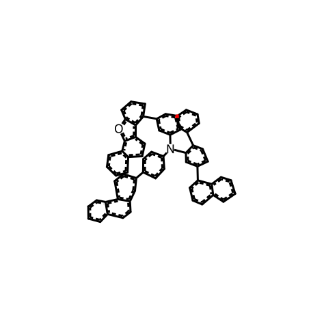 c1ccc(-c2ccc(-c3cccc4ccccc34)cc2N(c2ccc(-c3ccc4c(ccc5ccccc54)c3)cc2)c2cccc(-c3cccc4oc5c6ccccc6ccc5c34)c2)cc1